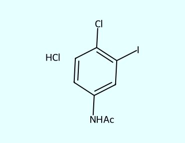 CC(=O)Nc1ccc(Cl)c(I)c1.Cl